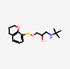 CC(C)(C)NCC(O)COSc1cccc2c1OCCC2